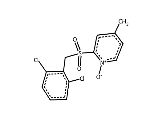 Cc1cc[n+]([O-])c(S(=O)(=O)Cc2c(Cl)cccc2Cl)c1